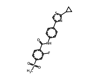 CS(=O)(=O)c1ccc(C(=O)Nc2ccc(-c3csc(C4CC4)n3)cc2)c(F)c1